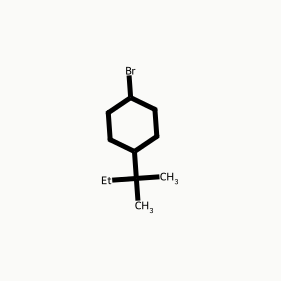 CCC(C)(C)C1CCC(Br)CC1